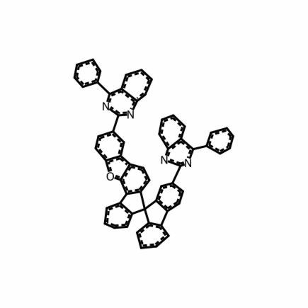 c1ccc(-c2nc(-c3ccc4c(c3)C3(c5ccccc5-4)c4ccccc4-c4c3ccc3c4oc4ccc(-c5nc(-c6ccccc6)c6ccccc6n5)cc43)nc3ccccc23)cc1